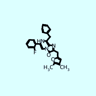 Cc1cc(Cc2nc3c(Cc4ccccc4)[nH]c(-c4ccccc4F)cn-3c2=O)oc1C